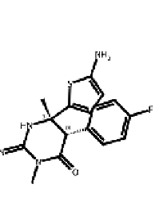 CN1C(=N)N[C@](C)(c2ccc(N)s2)[C@H](c2ccc(F)cc2)C1=O